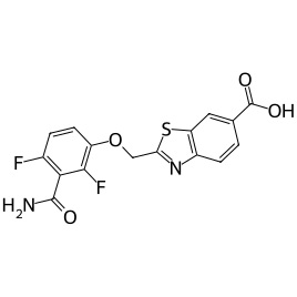 NC(=O)c1c(F)ccc(OCc2nc3ccc(C(=O)O)cc3s2)c1F